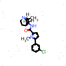 C[C@H]1[C@H](NC(=O)c2ccc(-c3cccc(Cl)c3)n2C)C2CCN1CC2